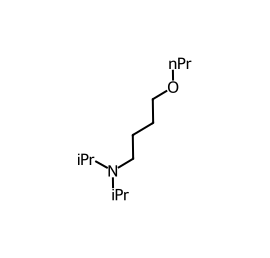 CCCOCCCCN(C(C)C)C(C)C